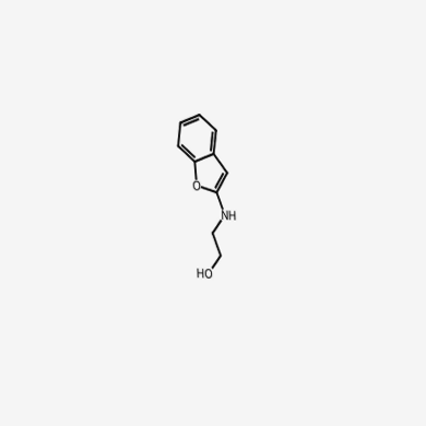 OCCNc1cc2ccccc2o1